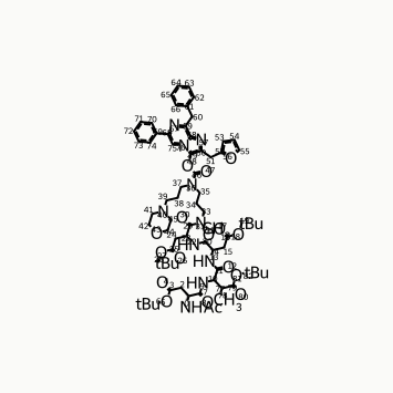 CC(=O)NC(CC(=O)OC(C)(C)C)C(=O)NC(C(=O)NC(CC(=O)OC(C)(C)C)C(=O)NC(CC(=O)OC(C)(C)C)C(=O)N(C)CCCN(CCCN1CCOCC1)C(=O)Oc1c(Cc2ccco2)nc2c(Cc3ccccc3)nc(-c3ccccc3)cn12)C(C)C(=O)OC(C)(C)C